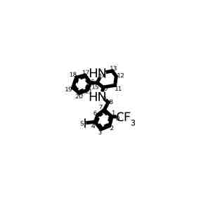 FC(F)(F)c1ccc(I)cc1CNC1CCCNC1c1ccccc1